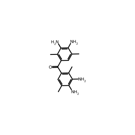 Cc1cc(C(=O)c2cc(C)c(N)c(N)c2C)c(C)c(N)c1N